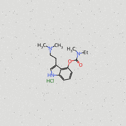 CCN(C)C(=O)Oc1cccc2[nH]cc(CCN(C)C)c12.Cl